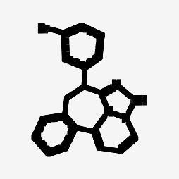 Brc1cccc(C2Cc3ccccc3C3=CC=CN4NN=C2N34)c1